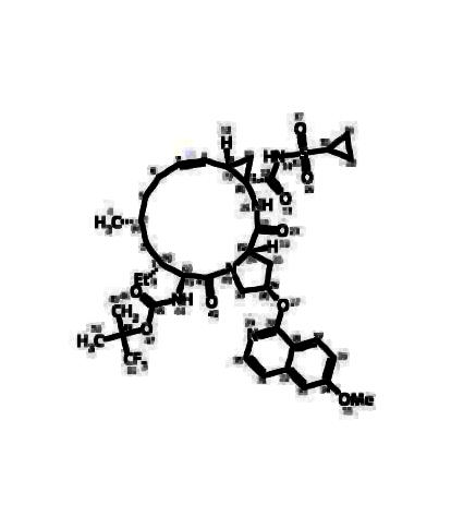 CC[C@@H]1C[C@H](C)CC/C=C\[C@@H]2C[C@@]2(C(=O)NS(=O)(=O)C2CC2)NC(=O)[C@@H]2C[C@@H](Oc3nccc4cc(OC)ccc34)CN2C(=O)[C@H]1NC(=O)OC(C)(C)C(F)(F)F